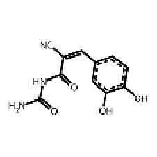 N#C/C(=C/c1ccc(O)c(O)c1)C(=O)NC(N)=O